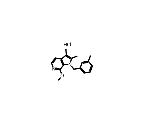 COc1nccc2c(C)c(C)n(Cc3cccc(C)c3)c12.Cl